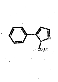 CCOC(=O)n1nccc1-c1ccccc1